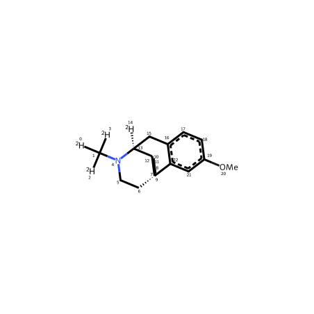 [2H]C([2H])([2H])N1CC[C@@]23CCCCC2[C@]1([2H])Cc1ccc(OC)cc13